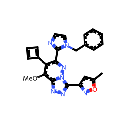 COc1c(C2=CC=C2)c(-c2nccn2Cc2ccccc2)nn2c(-c3cc(C)on3)nnc12